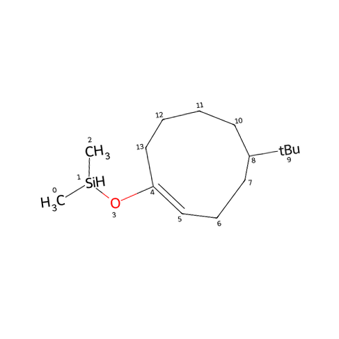 C[SiH](C)OC1=CCCC(C(C)(C)C)CCCC1